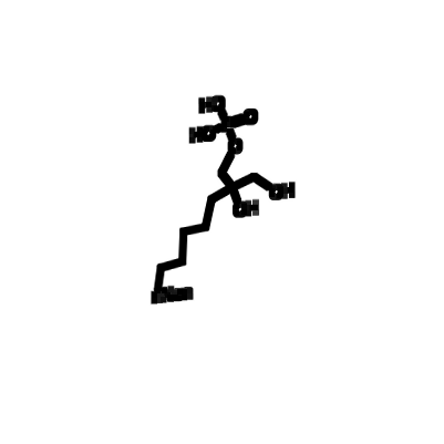 CCCCCCCCCCCCCCC(O)(CO)COP(=O)(O)O